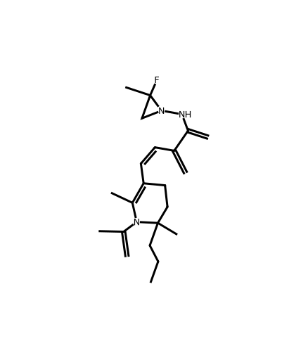 C=C(/C=C\C1=C(C)N(C(=C)C)C(C)(CCC)CC1)C(=C)NN1CC1(C)F